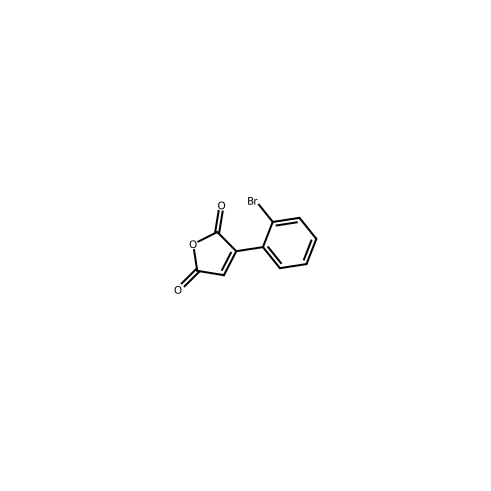 O=C1C=C(c2ccccc2Br)C(=O)O1